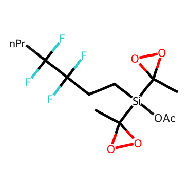 CCCC(F)(F)C(F)(F)CC[Si](OC(C)=O)(C1(C)OO1)C1(C)OO1